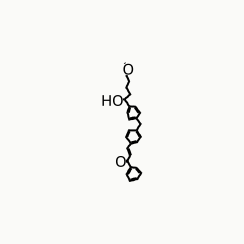 COCCCCC(O)c1ccc(Cc2ccc(/C=C/C(=O)c3ccccc3)cc2)cc1